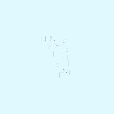 NC(F)=C(F)C(F)(F)C(F)(F)C(F)(F)N(F)F